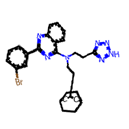 Brc1cccc(-c2nc(N(CCc3nn[nH]n3)CCC3CC4CCC(CC4)C3)c3ccccc3n2)c1